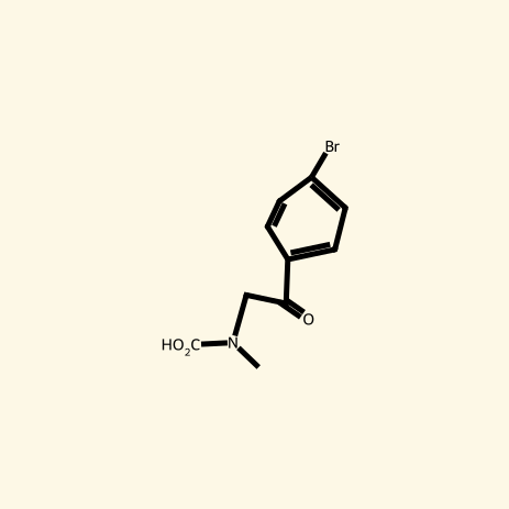 CN(CC(=O)c1ccc(Br)cc1)C(=O)O